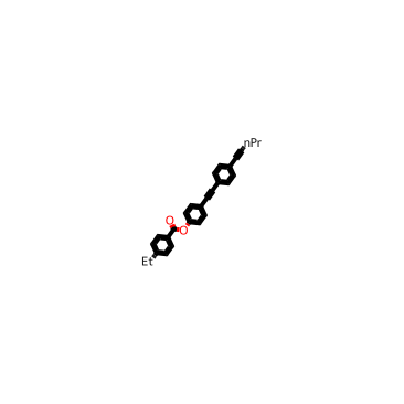 CCCC#Cc1ccc(C#Cc2ccc(OC(=O)c3ccc(CC)cc3)cc2)cc1